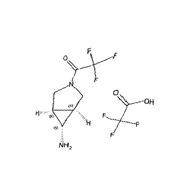 N[C@@H]1[C@H]2CN(C(=O)C(F)(F)F)C[C@@H]12.O=C(O)C(F)(F)F